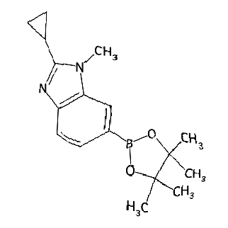 Cn1c(C2CC2)nc2ccc(B3OC(C)(C)C(C)(C)O3)cc21